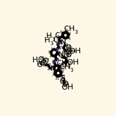 Cc1ccc2c(c1)C(C)(C)/C(=C/C=C1\CCCC(/C=C/C3=[N+](CCCS(=O)(=O)O)c4ccc(SOOO)cc4C3(C)C)=C1NCCC(=O)O)N2CCCS(=O)(=O)O